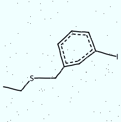 CCSCc1cccc(I)c1